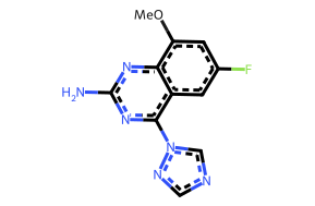 COc1cc(F)cc2c(-n3cncn3)nc(N)nc12